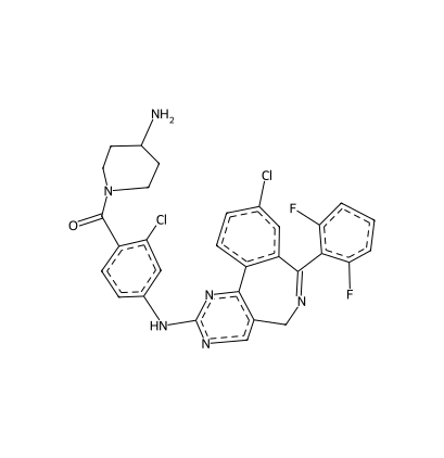 NC1CCN(C(=O)c2ccc(Nc3ncc4c(n3)-c3ccc(Cl)cc3C(c3c(F)cccc3F)=NC4)cc2Cl)CC1